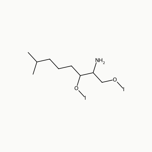 CC(C)CCCC(OI)C(N)COI